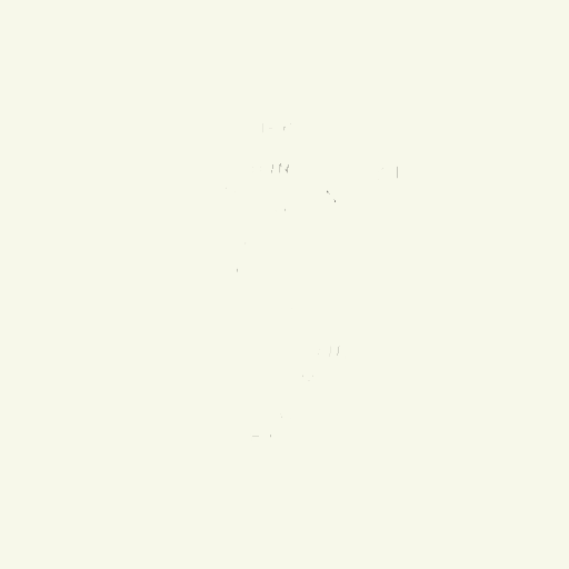 COc1ccc(CCOC(c2ccccc2)(c2ccccc2)C(Oc2nc(C)cc(C)n2)C(=O)O)cc1OC